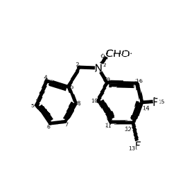 O=[C]N(Cc1ccccc1)c1ccc(F)c(F)c1